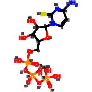 Nc1ccn(C2OC(COP(=O)(O)OP(=O)(O)OP(=O)(O)O)C(O)C2O)c(=S)n1